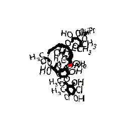 CC[C@H]1/C=C(\C)[C@@H](O)C/C=C/C=C(\CO[C@@H]2O[C@H](C)[C@@H](OC(=O)c3c(C)c(Cl)c(O)c(Cl)c3O)[C@H](O)[C@@H]2OC)C(=O)O[C@H]([C@H](C)O)C/C=C(C)/C=C(\C)[C@@H]1O[C@@H]1OC(C)(C)[C@@H](OC(=O)C(C)C)[C@H](O)[C@@H]1O